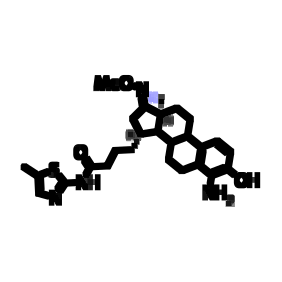 CO/N=C1\C[C@@H](CCCC(=O)Nc2ncc(C)s2)C2C3CCc4c(ccc(O)c4N)C3CC[C@]12C